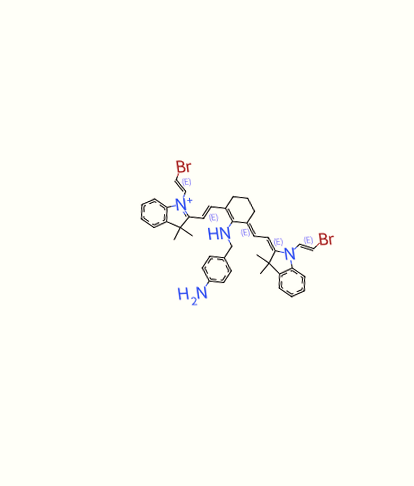 CC1(C)C(/C=C/C2=C(NCc3ccc(N)cc3)C(=C/C=C3/N(/C=C/Br)c4ccccc4C3(C)C)/CCC2)=[N+](/C=C/Br)c2ccccc21